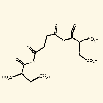 O=C(O)CC(C(=O)OC(=O)CCC(=O)OC(=O)C(CC(=O)O)S(=O)(=O)O)S(=O)(=O)O